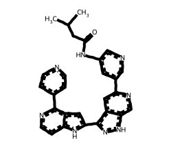 CC(C)CC(=O)Nc1cncc(-c2cc3c(-c4cc5c(-c6ccncc6)nccc5[nH]4)n[nH]c3cn2)c1